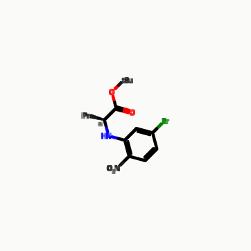 CC(C)[C@H](Nc1cc(Br)ccc1[N+](=O)[O-])C(=O)OC(C)(C)C